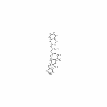 O=C1NCC(CC(O)CN2CCc3ccccc3C2)Oc2cc(F)c(Nc3ccnnc3)cc21